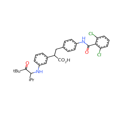 CC(C)C(Nc1cccc(C(Cc2ccc(NC(=O)c3c(Cl)cccc3Cl)cc2)C(=O)O)c1)C(=O)C(C)(C)C